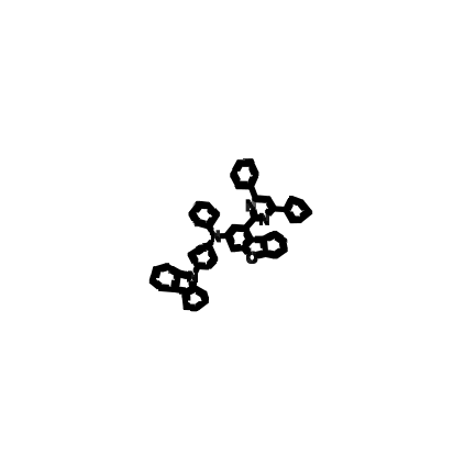 c1ccc(-c2cc(-c3ccccc3)nc(-c3cc(N(c4ccccc4)c4ccc(-n5c6ccccc6c6ccccc65)cc4)cc4oc5ccccc5c34)n2)cc1